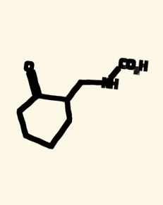 O=C(O)NCC1CCCCC1=O